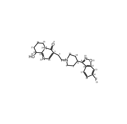 O=c1c(CCN2CCC(c3noc4cc(F)ccc34)CC2)cnc2n1CCCC2O